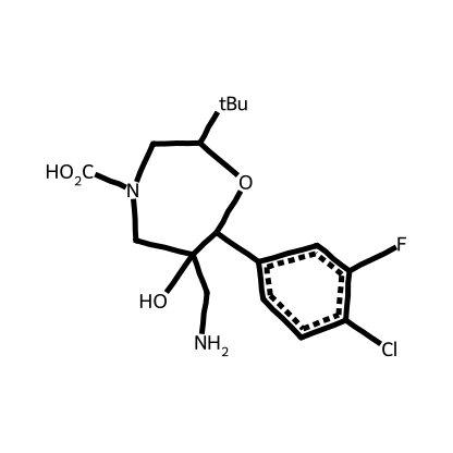 CC(C)(C)C1CN(C(=O)O)CC(O)(CN)C(c2ccc(Cl)c(F)c2)O1